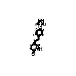 O=C1CCC(/C=C/c2ccc(-n3ccnc3)cc2)=NN1